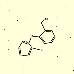 OCc1ccccc1Oc1ccccc1Br